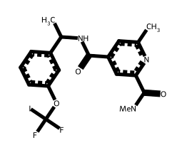 CNC(=O)c1cc(C(=O)NC(C)c2cccc(OC(F)(F)I)c2)cc(C)n1